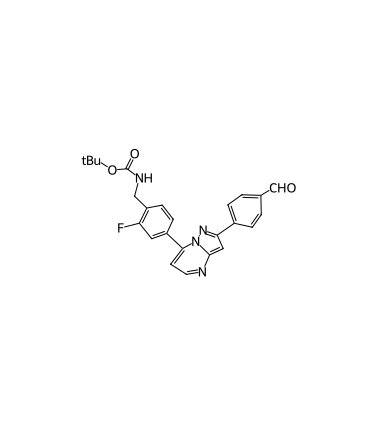 CC(C)(C)OC(=O)NCc1ccc(-c2ccnc3cc(-c4ccc(C=O)cc4)nn23)cc1F